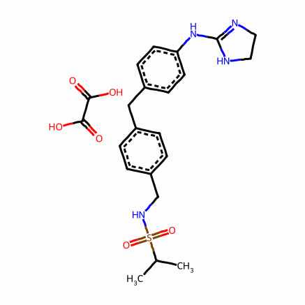 CC(C)S(=O)(=O)NCc1ccc(Cc2ccc(NC3=NCCN3)cc2)cc1.O=C(O)C(=O)O